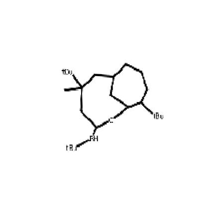 CC(C)(C)BC1CC2CC(CCCC2C(C)(C)C)CC(C)(C(C)(C)C)C1